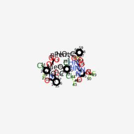 CCCCCOC(=O)COc1cc(N2C(=O)C3=C(CCCC3)C2=O)c(F)cc1Cl.COc1c(Cl)ccc(Cl)c1C(=O)O.O=C(Nc1nc(OC(F)F)cc(OC(F)F)n1)NS(=O)(=O)c1ccccc1C(=O)O